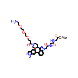 COC(=O)CNC(=O)CNC(=O)Cn1nc(C2CCN(C(=O)CCOCCOCCOCCN)CC2)c2c(-c3cc4c(cnn4C)cc3F)cccc21